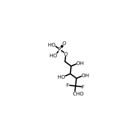 O=CC(F)(F)C(O)C(O)C(O)COP(=O)(O)O